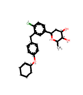 CC1OC(c2ccc(Cl)c(Cc3ccc(OC4CCCCC4)cc3)c2)CC(O)C1O